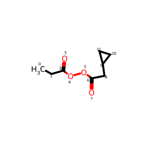 CCC(=O)OOC(=O)CC1CC1